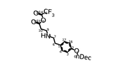 CCCCCCCCCCOc1ccc(CCNCCC(=O)OC(=O)C(F)(F)F)cc1